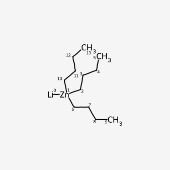 [Li][Zn]([CH2]CCC)([CH2]CCC)[CH2]CCC